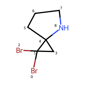 BrC1(Br)CC12CCCN2